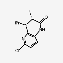 CC(C)N1c2nc(Cl)ccc2NC(=O)[C@H]1C